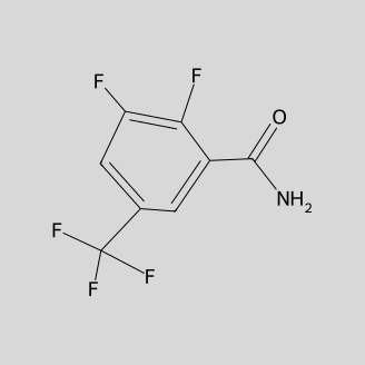 NC(=O)c1cc(C(F)(F)F)cc(F)c1F